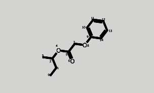 CCC(C)OC(=O)COc1ccccc1